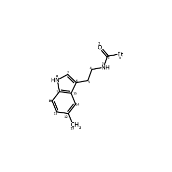 CCC(=O)NCCc1c[nH]c2ccc(C)cc12